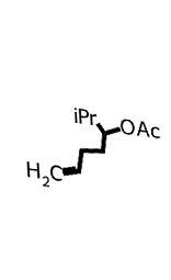 C=CCCC(OC(C)=O)C(C)C